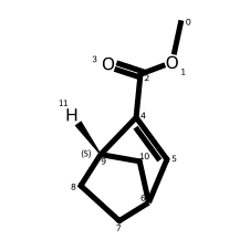 COC(=O)C1=CC2CC[C@H]1C2